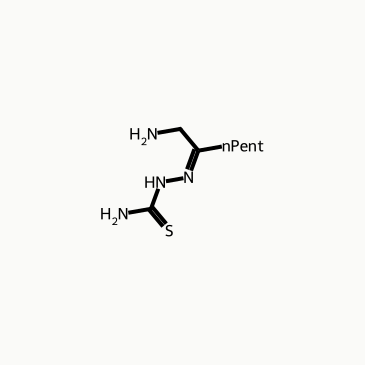 CCCCCC(CN)=NNC(N)=S